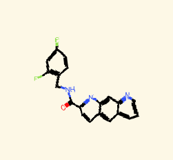 O=C(NCc1ccc(F)cc1F)c1ccc2cc3cccnc3cc2n1